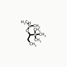 CCC(O[SiH](C)C)[Si](C)(C)C